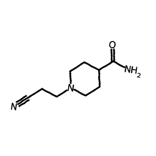 N#CCCN1CCC(C(N)=O)CC1